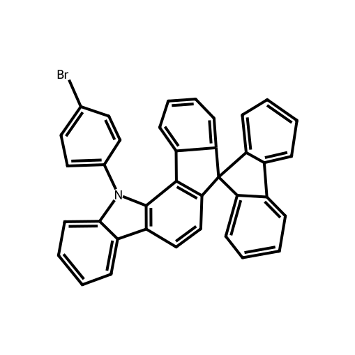 Brc1ccc(-n2c3ccccc3c3ccc4c(c32)-c2ccccc2C42c3ccccc3-c3ccccc32)cc1